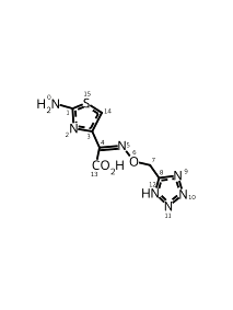 Nc1nc(/C(=N/OCc2nnn[nH]2)C(=O)O)cs1